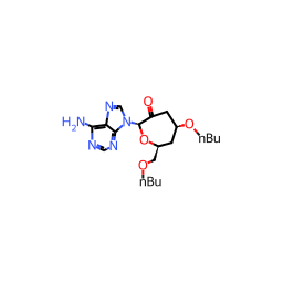 CCCCOC[C@@H]1C[C@H](OCCCC)CC(=O)[C@H](n2cnc3c(N)ncnc32)O1